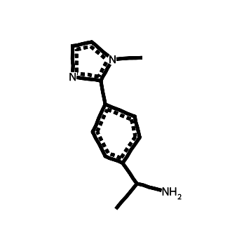 CC(N)c1ccc(-c2nccn2C)cc1